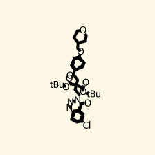 CC(C)(C)OC(=O)C(CCn1nnc2ccc(Cl)cc2c1=O)(CC(=O)c1ccc(OCC2CCOCC2)cc1)C(=O)OC(C)(C)C